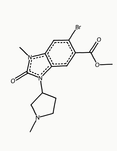 COC(=O)c1cc2c(cc1Br)n(C)c(=O)n2C1CCN(C)C1